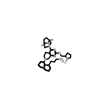 CN1CCCC1COc1nc2c(c(N3C[C@H]4CC[C@@H](C3)N4)n1)CCN(c1cccc3cccc(CCCO)c13)C2